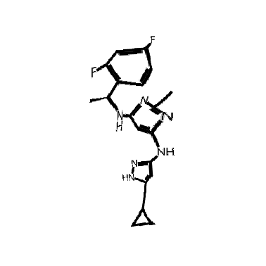 Cc1nc(Nc2cc(C3CC3)[nH]n2)cc(N[C@@H](C)c2ccc(F)cc2F)n1